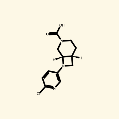 O=C(O)N1CC[C@@H]2CN(c3ccc(Cl)nc3)[C@@H]2C1